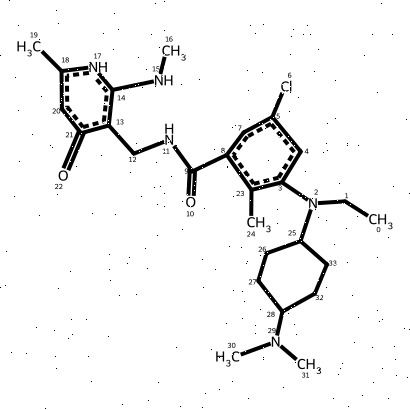 CCN(c1cc(Cl)cc(C(=O)NCc2c(NC)[nH]c(C)cc2=O)c1C)C1CCC(N(C)C)CC1